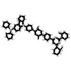 Cc1cc(-c2ccc(-n3c4ccccc4c4cc(N(c5ccccc5)c5ccccc5)ccc43)cc2)c(C)cc1-c1ccc(-c2cc(-c3ccccc3C)nc(-c3ccccc3C)n2)cc1